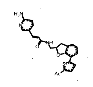 CC(=O)c1ccc(-c2cccc3c2OC(CNC(=O)/C=C/c2ccc(N)nc2)C3)s1